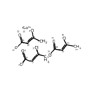 C/C(Cl)=C/C(=O)[O-].C/C(Cl)=C/C(=O)[O-].C/C(Cl)=C/C(=O)[O-].[Ga+3]